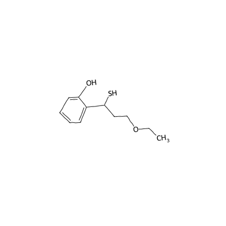 CCOCCC(S)c1ccccc1O